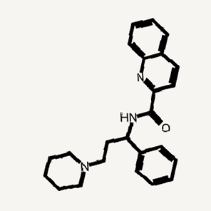 O=C(NC(CCN1CCCCC1)c1ccccc1)c1ccc2ccccc2n1